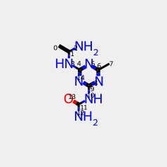 C=C(N)Nc1nc(C)nc(NC(N)=O)n1